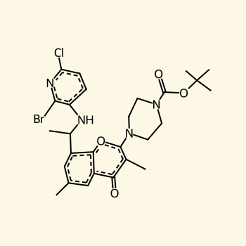 Cc1cc(C(C)Nc2ccc(Cl)nc2Br)c2oc(N3CCN(C(=O)OC(C)(C)C)CC3)c(C)c(=O)c2c1